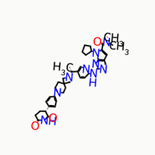 C[C@H](c1ccc(Nc2ncc3cc(C(=O)N(C)C)n(C4CCCC4)c3n2)nc1)N1CC2(CCN(c3ccc([C@H]4CCC(=O)NC4=O)cc3)CC2)C1